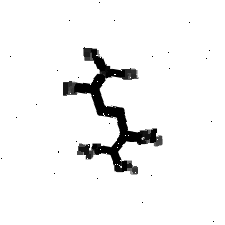 CCC(CCC(C)C(C)N)N(CC)CC